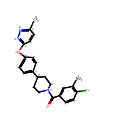 O=C(c1ccc(F)c([N+](=O)[O-])c1)N1CCC(c2ccc(Oc3ccc(C(F)(F)F)nn3)cc2)CC1